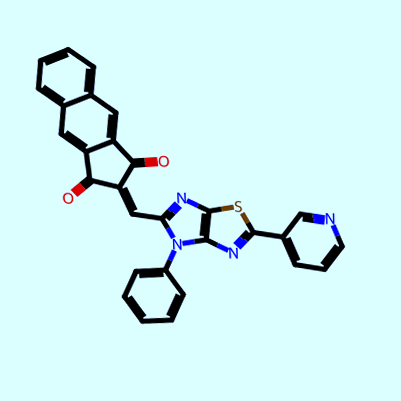 O=C1C(=Cc2nc3sc(-c4cccnc4)nc3n2-c2ccccc2)C(=O)c2cc3ccccc3cc21